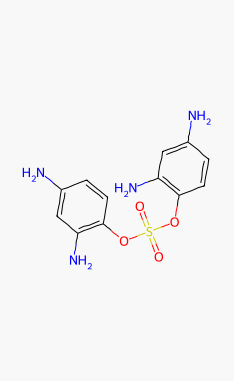 Nc1ccc(OS(=O)(=O)Oc2ccc(N)cc2N)c(N)c1